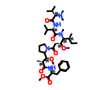 CC[C@H](C)[C@@H]([C@@H](CC(=O)N1CCCC1[C@H](OC)[C@@H](C)C(=O)N[C@@H](Cc1ccccc1)C(=O)OC)OC)N(C)C(=O)[C@@H](NC(=O)[C@H](C(C)C)N(C)C)C(C)C